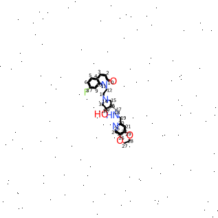 O=c1ccc2ccc(F)cc2n1CCN1C[C@H](CNCc2cc3c(cn2)OCCO3)[C@H](O)C1